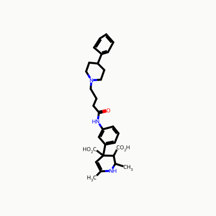 CC1=CC(C(=O)O)(c2cccc(NC(=O)CCCN3CCC(c4ccccc4)CC3)c2)C(C(=O)O)C(C)N1